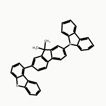 CC1(C)c2cc(-c3cccc4oc5ccccc5c34)ccc2-c2ccc(-n3c4ccccc4c4ccccc43)cc21